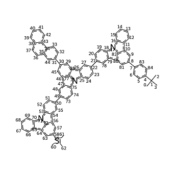 CC(C)(C)c1ccc(-c2cc3c4ccccc4n4c5ccc(-c6ccc7c(c6)c6cc(-c8ccc9c(ccc%10ccccc%109)c8)cc8c9cc(-c%10ccc%11c(c%10)c%10cc([Si](C)(C)C)cc%12c%13ccccc%13n%11c%12%10)ccc9n7c68)cc5c(c2)c34)cc1